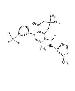 CC1=[C]C(c2cccc(C(F)(F)F)c2)C2=C(CC(C)(C)CC2=O)N1C(=O)Nc1cc(C)ccn1